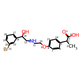 CC(C(=O)O)c1ccc(OCCNCC(O)c2cccc(Br)c2)cc1